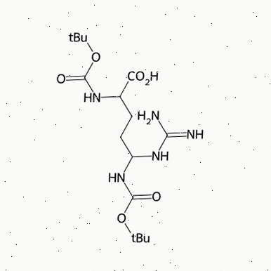 CC(C)(C)OC(=O)NC(CCC(NC(=O)OC(C)(C)C)C(=O)O)NC(=N)N